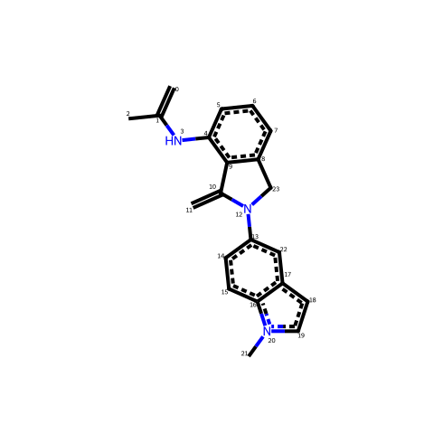 C=C(C)Nc1cccc2c1C(=C)N(c1ccc3c(ccn3C)c1)C2